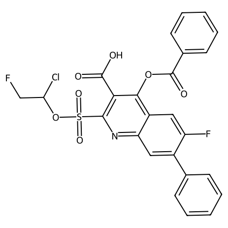 O=C(Oc1c(C(=O)O)c(S(=O)(=O)OC(Cl)CF)nc2cc(-c3ccccc3)c(F)cc12)c1ccccc1